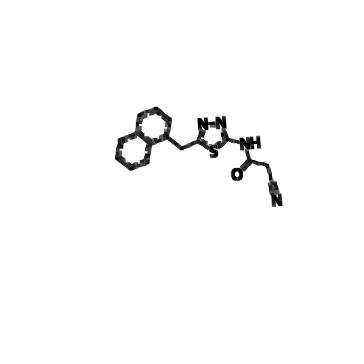 N#CCC(=O)Nc1nnc(Cc2cccc3ccccc23)s1